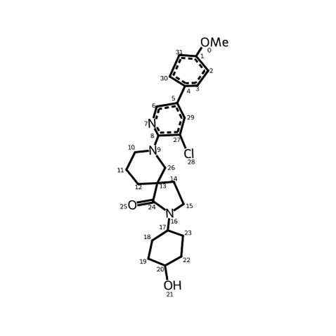 COc1ccc(-c2cnc(N3CCCC4(CCN(C5CCC(O)CC5)C4=O)C3)c(Cl)c2)cc1